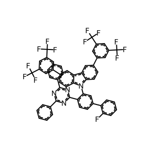 Fc1ccccc1-c1ccc(-c2nc(-c3ccccc3)nc(-c3ccccc3)n2)c(-n2c3ccc(-c4cc(C(F)(F)F)cc(C(F)(F)F)c4)cc3c3cc(-c4cc(C(F)(F)F)cc(C(F)(F)F)c4)ccc32)c1